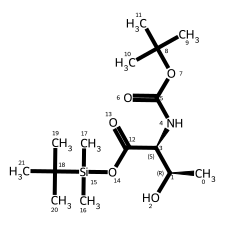 C[C@@H](O)[C@H](NC(=O)OC(C)(C)C)C(=O)O[Si](C)(C)C(C)(C)C